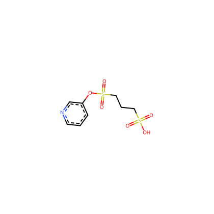 O=S(=O)(O)CCCS(=O)(=O)Oc1cccnc1